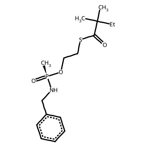 CCC(C)(C)C(=O)SCCO[P@@](C)(=O)NCc1ccccc1